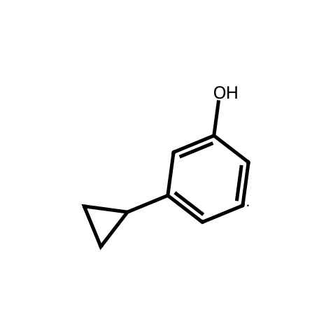 Oc1c[c]cc(C2CC2)c1